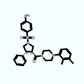 CCCc1ccc(S(=O)(=O)N2C[C@@H](C(=O)N3CCN(c4cccc(C)c4C)CC3)[C@H](c3ccccc3)C2)cc1